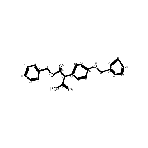 O=C(O)C(C(=O)OCc1ccccc1)c1ccc(OCc2ccccc2)cc1